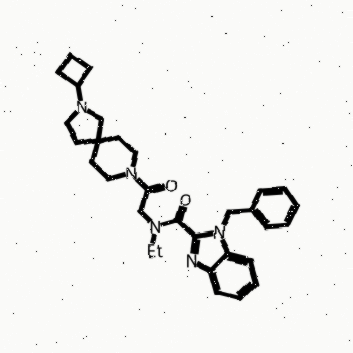 CCN(CC(=O)N1CCC2(CC1)CCN(C1CCC1)C2)C(=O)c1nc2ccccc2n1Cc1ccccc1